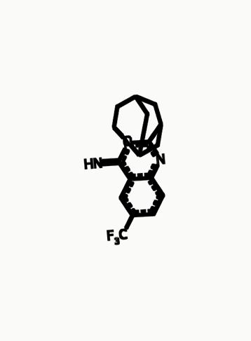 N=c1c2cc(C(F)(F)F)ccc2nc2n1C1CC3CC(CC2C3)C1